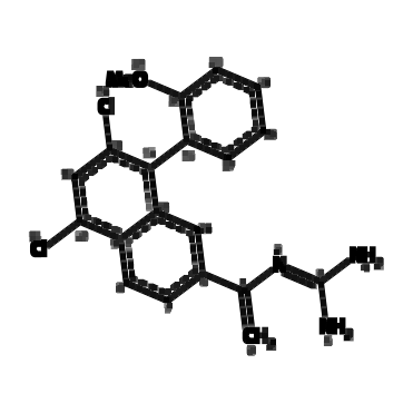 C=C(N=C(N)N)c1ccc2c(Cl)cc(Cl)c(-c3ccccc3OC)c2c1